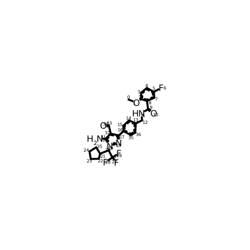 COc1ccc(F)cc1C(=O)NCc1ccc(-c2nn(C(C3CCCC3)C(F)(F)F)c(N)c2C=O)cc1